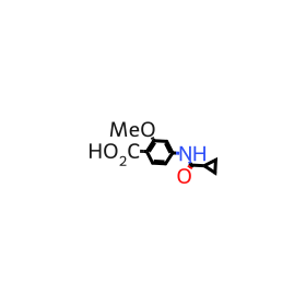 COc1cc(NC(=O)C2CC2)ccc1C(=O)O